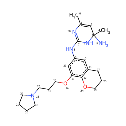 CC1=CC(C)(N)NC(Nc2cc3c(c(OCCCN4CCCC4)c2)OCCC3)=N1